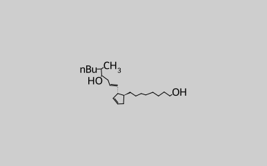 CCCCC(C)C(O)C/C=C/[C@H]1C=CC[C@@H]1CCCCCCCCO